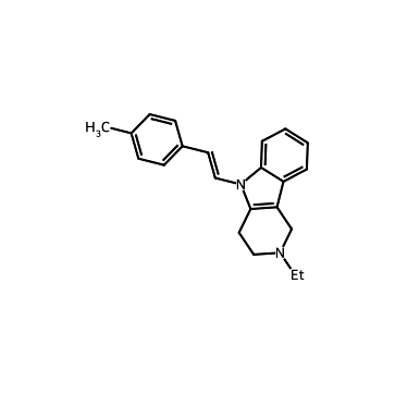 CCN1CCc2c(c3ccccc3n2C=Cc2ccc(C)cc2)C1